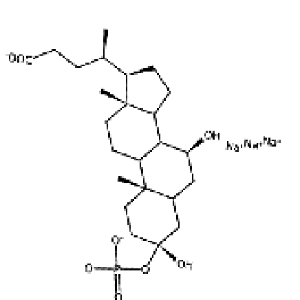 C[C@H](CCC(=O)[O-])[C@H]1CCC2C3C(CC[C@@]21C)[C@@]1(C)CC[C@@](O)(OP(=O)([O-])[O-])CC1C[C@@H]3O.[Na+].[Na+].[Na+]